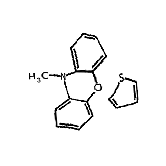 CN1c2ccccc2Oc2ccccc21.c1ccsc1